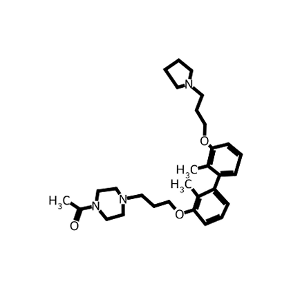 CC(=O)N1CCN(CCCOc2cccc(-c3cccc(OCCCN4CCCC4)c3C)c2C)CC1